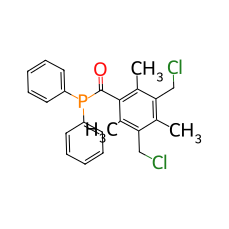 Cc1c(CCl)c(C)c(C(=O)P(c2ccccc2)c2ccccc2)c(C)c1CCl